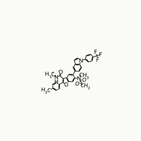 CNC(=O)c1c(-c2ccc(C)cc2)oc2cc(N(C)S(C)(=O)=O)c(-c3ccc4c(ccn4-c4ccc(C(F)(F)F)cc4)c3)cc12